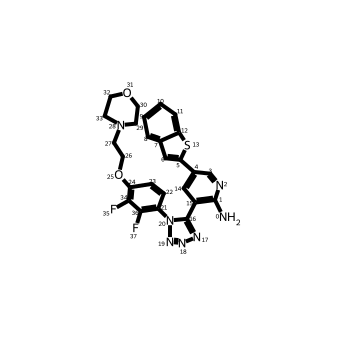 Nc1ncc(-c2cc3ccccc3s2)cc1-c1nnnn1-c1ccc(OCCN2CCOCC2)c(F)c1F